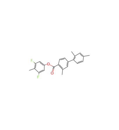 Cc1ccc(-c2ccc(C(=O)Oc3cc(F)c(C)c(F)c3)c(C)c2)c(C)c1